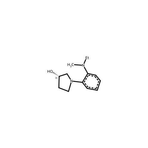 CCN(C)c1ccccc1N1CC[C@H](O)C1